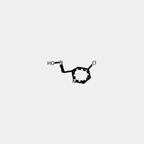 ON=Cc1cc(Cl)ccn1